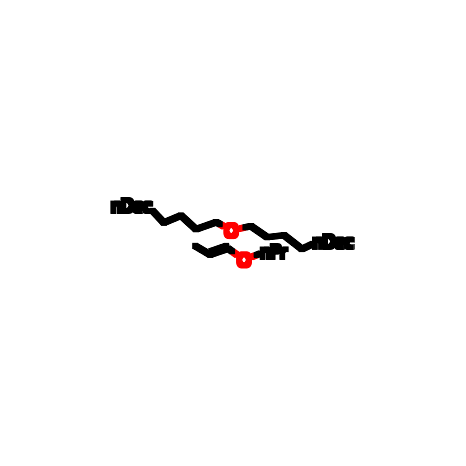 CC=COCCC.CCCCCCCCCCCCCCOCCCCCCCCCCCCCC